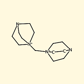 C1C[N+]2(C[N+]34CCN(CC3)CC4)CCN1CC2